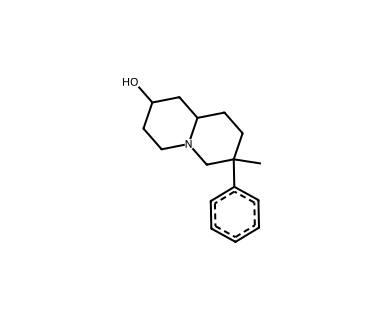 CC1(c2ccccc2)CCC2CC(O)CCN2C1